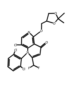 CC1(C)OCC(COc2ncc(Cl)c3c2c(=O)cc(C(F)F)n3-c2c(Cl)cccc2Cl)O1